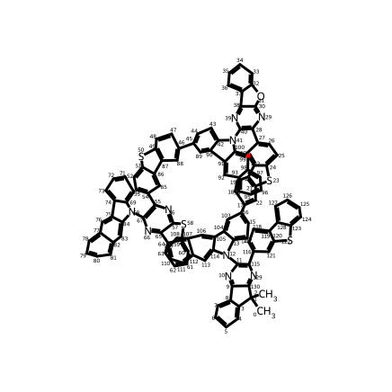 CC1(C)c2ccccc2-c2nc(-n3c4ccc(-c5ccc6c(c5)sc5ccc(-c7nc8oc9ccccc9c8nc7-n7c8ccc(-c9ccc%10sc%11ccc(-c%12nc%13sc%14ccccc%14c%13nc%12-n%12c%13ccccc%13c%13cc%14ccccc%14cc%13%12)cc%11c%10c9)cc8c8cc9ccccc9cc87)cc56)cc4c4cc5ccccc5cc43)c(-c3ccc4c(c3)sc3ccccc34)nc21